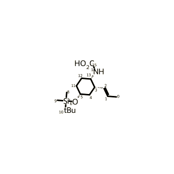 CC=C[C@@H]1C[C@H](O[Si](C)(C)C(C)(C)C)CC[C@@H]1NC(=O)O